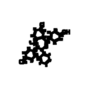 CN1C(=O)C(c2ccccc2-c2cccc(Cl)c2)N=C(c2ccc(O)cc2)c2cc(Cl)ccc21